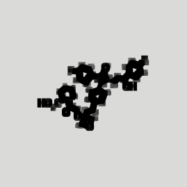 O=C(O)C1CCCCN1C(=O)COC1(CCc2ccc([C@@H]3[C@@H](CCC(O)c4ccc(F)cc4)C(=O)N3c3ccc(F)cc3)cc2)COC1